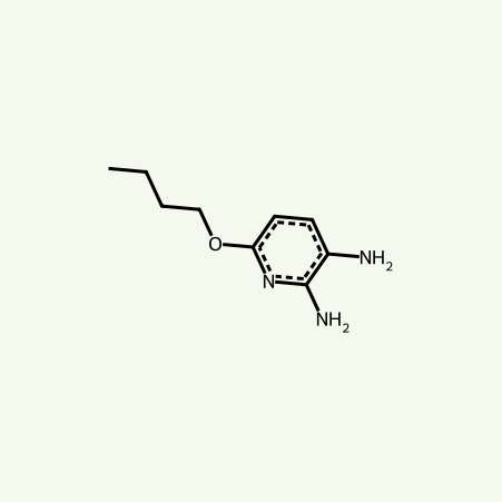 CCCCOc1ccc(N)c(N)n1